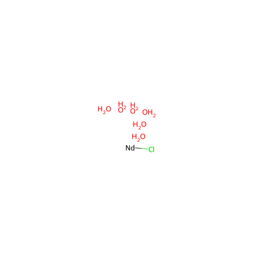 O.O.O.O.O.O.[Cl][Nd]